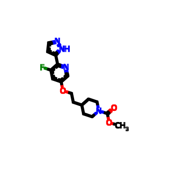 COC(=O)N1CCC(CCOc2cnc(-c3ccn[nH]3)c(F)c2)CC1